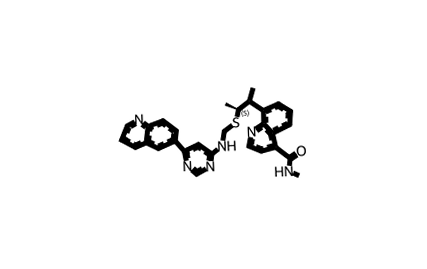 CNC(=O)c1ccnc2c(C(C)[C@H](C)SCNc3cc(-c4ccc5ncccc5c4)ncn3)cccc12